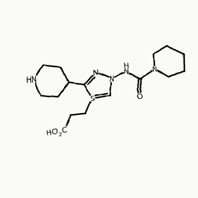 O=C(O)CCS1=CN(NC(=O)N2CCCCC2)N=C1C1CCNCC1